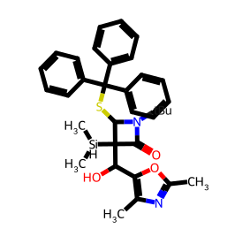 Cc1nc(C)c(C(O)C2([SiH](C)C)C(=O)N(C(C)(C)C)C2SC(c2ccccc2)(c2ccccc2)c2ccccc2)o1